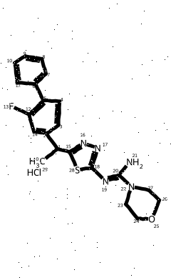 CC(c1ccc(-c2ccccc2)c(F)c1)c1nnc(/N=C(\N)N2CCOCC2)s1.Cl